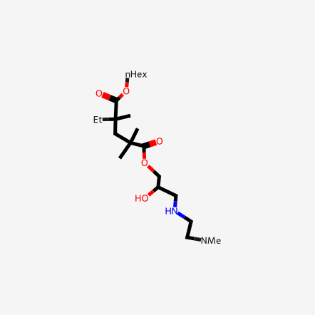 CCCCCCOC(=O)C(C)(CC)CC(C)(C)C(=O)OCC(O)CNCCNC